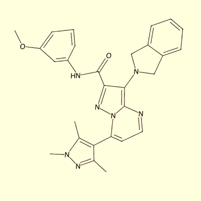 COc1cccc(NC(=O)c2nn3c(-c4c(C)nn(C)c4C)ccnc3c2N2Cc3ccccc3C2)c1